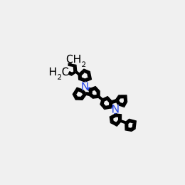 C=C/C=C(\C=C)c1cccc(-n2c3ccccc3c3cc(-c4ccc5c(c4)c4ccccc4n5-c4cccc(-c5ccccc5)c4)ccc32)c1